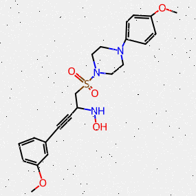 COc1ccc(N2CCN(S(=O)(=O)CC(C#Cc3cccc(OC)c3)NO)CC2)cc1